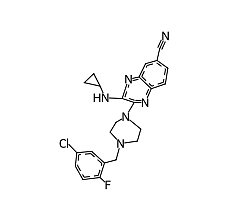 N#Cc1ccc2nc(N3CCN(Cc4cc(Cl)ccc4F)CC3)c(NC3CC3)nc2c1